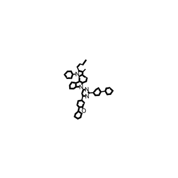 C=C/C=C\c1c(C)c2ccc3c(c4ccccc4n3-c3cc(-c4ccc5c(c4)oc4ccccc45)nc(-c4ccc(-c5ccccc5)cc4)n3)c2n1-c1ccccc1